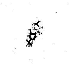 CC(=O)NS(=O)(=O)c1ccc(C(C)(C)O)cc1C